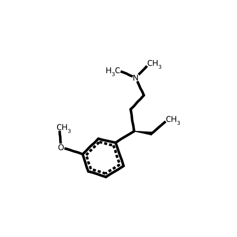 CC[C@H](CCN(C)C)c1cccc(OC)c1